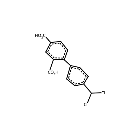 O=C(O)c1ccc(-c2ccc(C(Cl)Cl)cc2)c(C(=O)O)c1